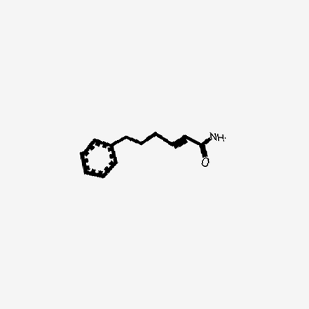 [NH]C(=O)C=CCCCc1ccccc1